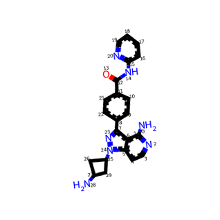 Nc1nccc2c1c(-c1ccc(C(=O)Nc3ccccn3)cc1)nn2C1CC(N)C1